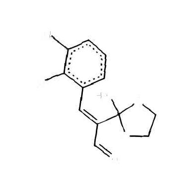 CC1(/C(C=O)=C\c2cccc(Cl)c2Cl)OCCO1